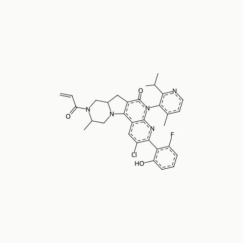 C=CC(=O)N1CC2Cc3c(c4cc(Cl)c(-c5c(O)cccc5F)nc4n(-c4c(C)ccnc4C(C)C)c3=O)N2CC1C